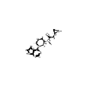 CN(C(=O)C[C@H]1CN1)[C@@H]1CCCN(c2ncnc3[nH]ccc23)C1